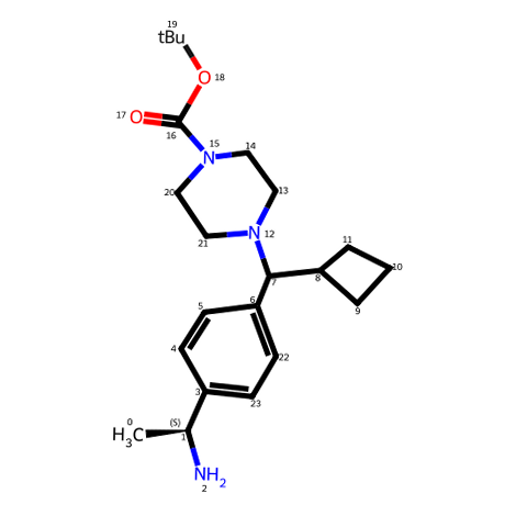 C[C@H](N)c1ccc(C(C2CCC2)N2CCN(C(=O)OC(C)(C)C)CC2)cc1